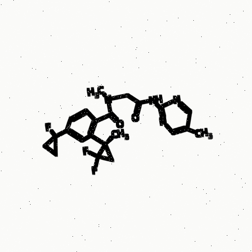 Cc1cnc(NC(=O)CN(C)C(=O)c2ccc(C3(F)CC3)cc2[C@]2(C)CC2(F)F)nc1